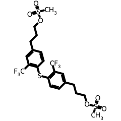 CS(=O)(=O)OCCCc1ccc(Sc2ccc(CCCOS(C)(=O)=O)cc2C(F)(F)F)c(C(F)(F)F)c1